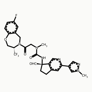 CN(CC(=O)N1Cc2cc(F)ccc2OC[C@H]1C(F)(F)F)C(=O)N[C@@]1(C=O)CCc2cc(-c3cnn(C)c3)ncc21